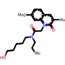 COc1ccc2cc(C(C)(C)C)c(=O)n(CC(=O)N(CCCCCO)CCC(C)(C)C)c2c1